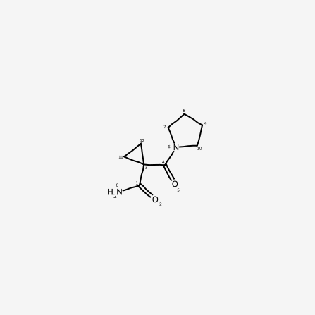 NC(=O)C1(C(=O)N2CCCC2)CC1